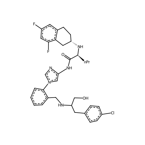 CCC[C@H](N[C@H]1CCc2cc(F)cc(F)c2C1)C(=O)Nc1cn(-c2ccccc2CNC(CO)Cc2ccc(Cl)cc2)cn1